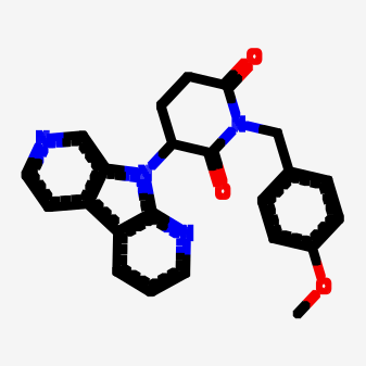 COc1ccc(CN2C(=O)CCC(n3c4cnccc4c4cccnc43)C2=O)cc1